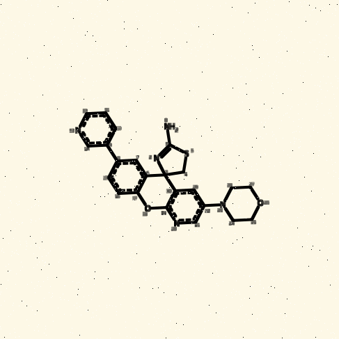 NC1=NC2(CS1)c1cc(-c3cccnc3)ccc1Oc1ncc(N3CCOCC3)cc12